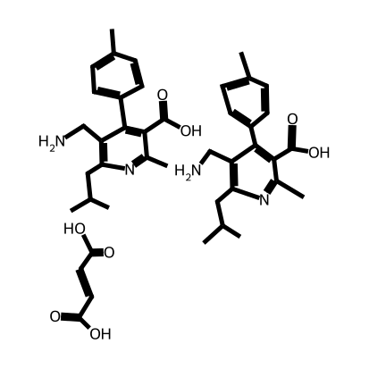 Cc1ccc(-c2c(CN)c(CC(C)C)nc(C)c2C(=O)O)cc1.Cc1ccc(-c2c(CN)c(CC(C)C)nc(C)c2C(=O)O)cc1.O=C(O)C=CC(=O)O